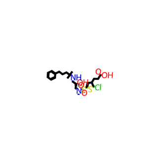 CN(C[C@H](O)CNC(C)(C)CCCc1ccccc1)S(=O)(=O)C1=CC(CCC(=O)O)C(Cl)S1